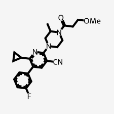 COCCC(=O)N1CCN(c2nc(C3CC3)c(-c3cccc(F)c3)cc2C#N)CC1C